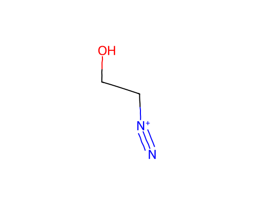 N#[N+]CCO